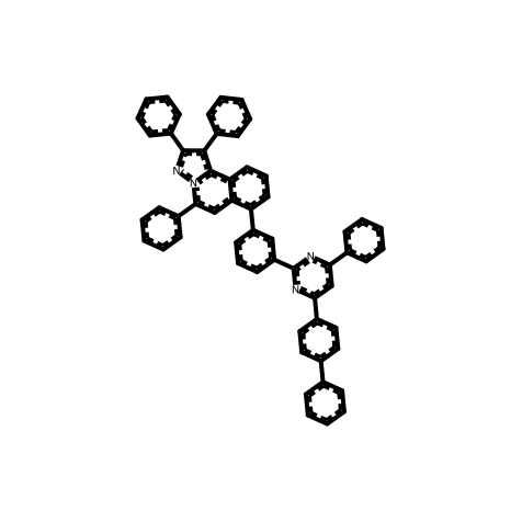 c1ccc(-c2ccc(-c3cc(-c4ccccc4)nc(-c4cccc(-c5cccc6c5cc(-c5ccccc5)n5nc(-c7ccccc7)c(-c7ccccc7)c65)c4)n3)cc2)cc1